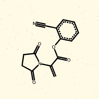 C=C(C(=O)Oc1ccccc1C#N)N1C(=O)CCC1=O